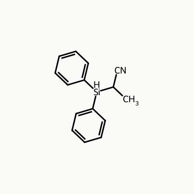 CC(C#N)[SiH](c1ccccc1)c1ccccc1